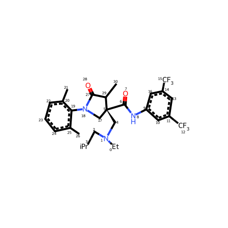 CCN(CC(C)C)C[C@@]1(C(=O)Nc2cc(C(F)(F)F)cc(C(F)(F)F)c2)CN(c2c(C)cccc2C)C(=O)C1C